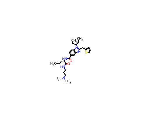 CCC[C@H](NC(=O)c1ccc2c(c1)nc(Cc1cccs1)n2C(CC)CC)C(=O)NCCCN(C)C